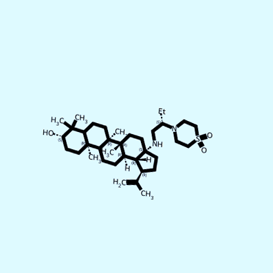 C=C(C)[C@@H]1CC[C@]2(NC[C@H](CC)N3CCS(=O)(=O)CC3)CC[C@]3(C)[C@H](CCC4[C@@]5(C)CC[C@H](O)C(C)(C)C5CC[C@]43C)[C@@H]12